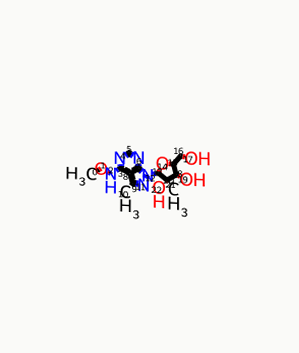 CONc1ncnc2c1c(C)nn2C1OC(CO)C(O)[C@@]1(C)O